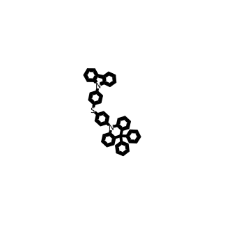 c1ccc(C2(c3ccccc3)c3ccccc3N(c3ccc(Sc4ccc(-n5c6ccccc6c6ccccc65)cc4)cc3)c3ccccc32)cc1